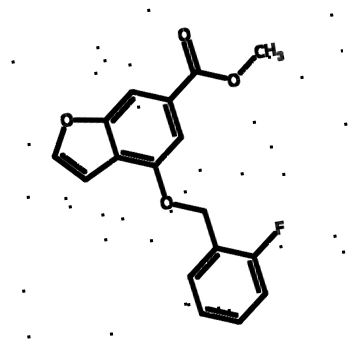 COC(=O)c1cc(OCc2ccccc2F)c2ccoc2c1